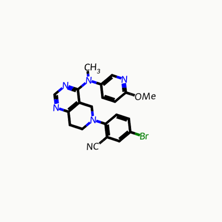 COc1ccc(N(C)c2ncnc3c2CN(c2ccc(Br)cc2C#N)CC3)cn1